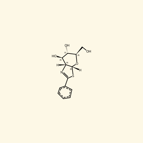 OC[C@H]1O[C@@H]2SC(c3ccccc3)=N[C@@H]2[C@@H](O)[C@@H]1O